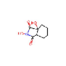 O=C1C2CCCCC2(O)C(=O)N1O